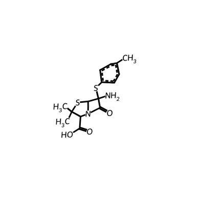 Cc1ccc(SC2(N)C(=O)N3C(C(=O)O)C(C)(C)SC32)cc1